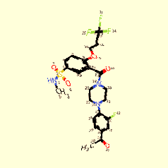 CNS(=O)(=O)c1ccc(OCCC(F)(F)F)c(C(=O)N2CCN(c3ccc(C(C)=O)cc3F)CC2)c1